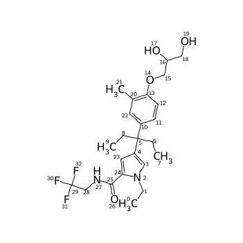 CCn1cc(C(CC)(CC)c2ccc(OCC(O)CO)c(C)c2)cc1C(=O)NCC(F)(F)F